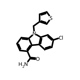 NC(=O)c1cccc2c1c1[c]cc(Cl)cc1n2Cc1ccsc1